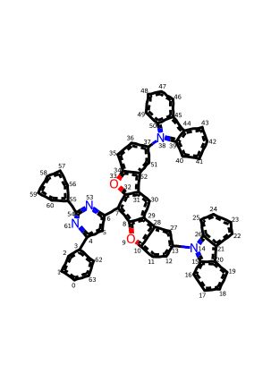 c1ccc(-c2cc(-c3c4oc5ccc(-n6c7ccccc7c7ccccc76)cc5c4cc4c3oc3ccc(-n5c6ccccc6c6ccccc65)cc34)nc(-c3ccccc3)n2)cc1